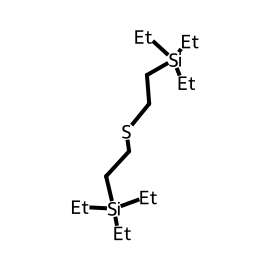 CC[Si](CC)(CC)CCSCC[Si](CC)(CC)CC